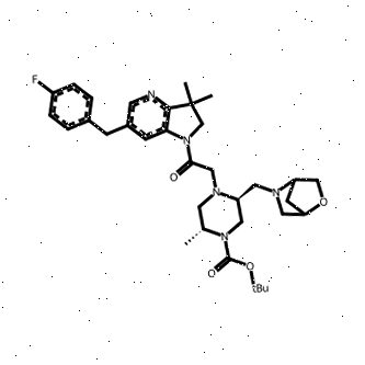 C[C@@H]1CN(CC(=O)N2CC(C)(C)c3ncc(Cc4ccc(F)cc4)cc32)[C@@H](CN2CC3CC2CO3)CN1C(=O)OC(C)(C)C